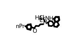 CCCc1ccc(C(=O)CCCCN(CC)C2CCC3(CC=Cc4cccc(NC(C)=O)c43)CC2)cc1.Cl